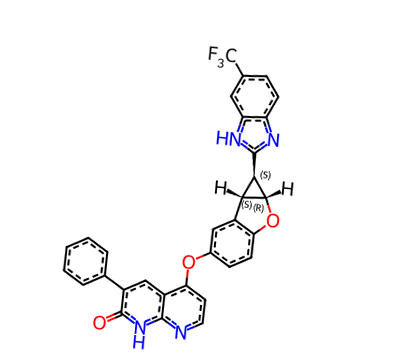 O=c1[nH]c2nccc(Oc3ccc4c(c3)[C@H]3[C@@H](O4)[C@@H]3c3nc4ccc(C(F)(F)F)cc4[nH]3)c2cc1-c1ccccc1